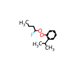 CCCC(F)OOc1ccccc1C(C)C